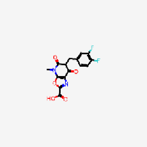 CN1C(=O)C(Cc2ccc(F)c(F)c2)C(=O)c2nc(C(=O)O)oc21